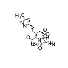 Cc1nnc(SCC2=C(C(=O)C(C)(C)C)N3C(=O)C(=[N+]=[N-])[C@H]3S(=O)(=O)C2)s1